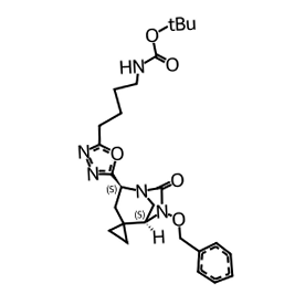 CC(C)(C)OC(=O)NCCCCc1nnc([C@@H]2CC3(CC3)[C@H]3CN2C(=O)N3OCc2ccccc2)o1